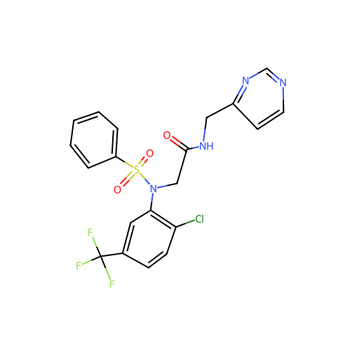 O=C(CN(c1cc(C(F)(F)F)ccc1Cl)S(=O)(=O)c1ccccc1)NCc1ccncn1